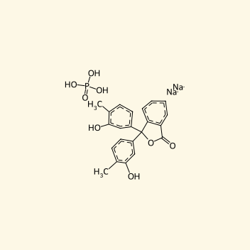 Cc1ccc(C2(c3ccc(C)c(O)c3)OC(=O)c3ccccc32)cc1O.O=P(O)(O)O.[Na].[Na]